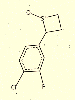 [O-][S+]1C[CH]C1c1ccc(Cl)c(F)c1